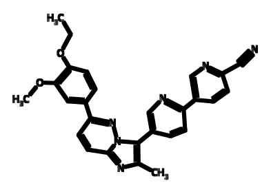 CCOc1ccc(-c2ccc3nc(C)c(-c4ccc(-c5ccc(C#N)nc5)nc4)n3n2)cc1OC